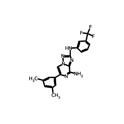 Cc1cc(C)cc(-c2cn3nc(Nc4cccc(C(F)(F)F)c4)nc3c(N)n2)c1